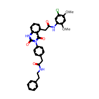 COc1cc(OC)c(NC(=O)Cc2cccc3[nH]c(=O)n(-c4ccc(CC(=O)NCCc5ccccc5)cc4)c(=O)c23)cc1Cl